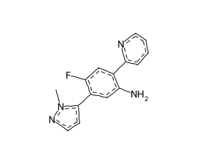 Cn1nccc1-c1cc(N)c(-c2ccccn2)cc1F